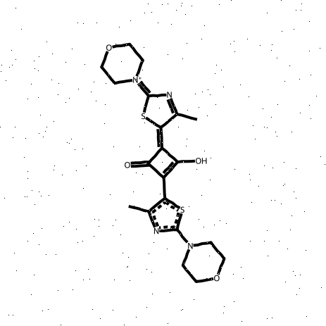 CC1=NC(=[N+]2CCOCC2)S/C1=C1\C(=O)C(c2sc(N3CCOCC3)nc2C)=C1O